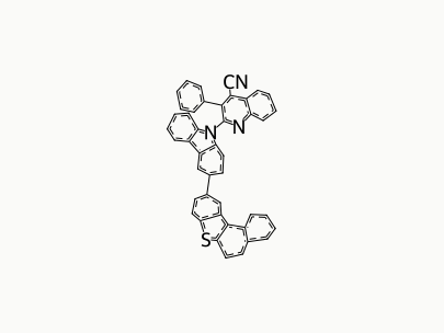 N#Cc1c(-c2ccccc2)c(-n2c3ccccc3c3cc(-c4ccc5sc6ccc7ccccc7c6c5c4)ccc32)nc2ccccc12